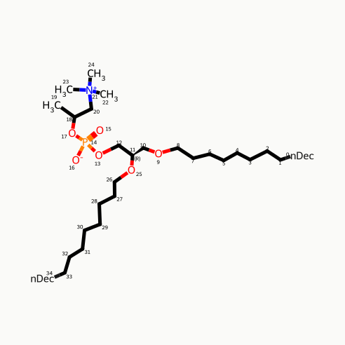 CCCCCCCCCCCCCCCCCCOC[C@H](COP(=O)([O-])OC(C)C[N+](C)(C)C)OCCCCCCCCCCCCCCCCCC